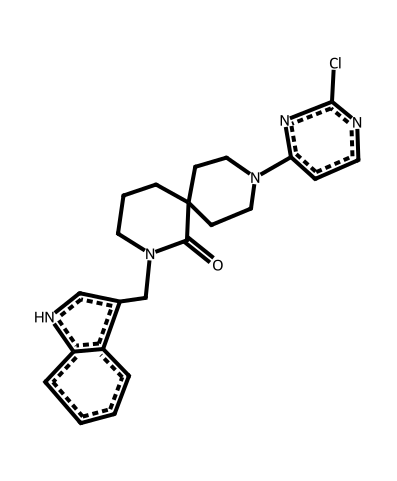 O=C1N(Cc2c[nH]c3ccccc23)CCCC12CCN(c1ccnc(Cl)n1)CC2